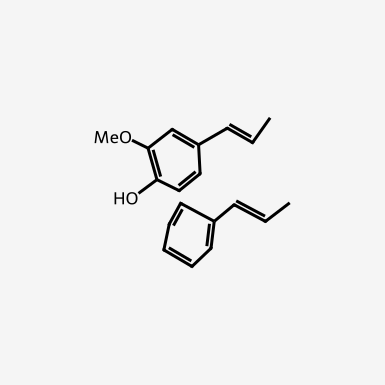 CC=Cc1ccc(O)c(OC)c1.CC=Cc1ccccc1